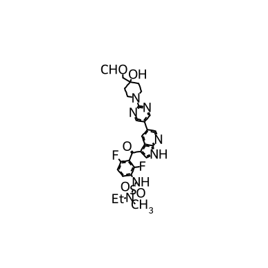 CCN(C)S(=O)(=O)Nc1ccc(F)c(C(=O)c2c[nH]c3ncc(-c4cnc(N5CCC(O)(CC=O)CC5)nc4)cc23)c1F